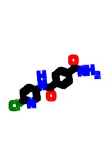 NC(=O)c1ccc(C(=O)Nc2ccc(Cl)nc2)cc1